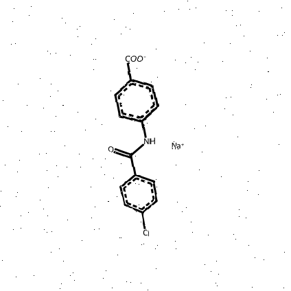 O=C([O-])c1ccc(NC(=O)c2ccc(Cl)cc2)cc1.[Na+]